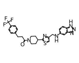 O=C(CCc1ccc(C(F)(F)F)cc1)N1CCC(c2nc(CNc3ccc4[nH]nnc4c3)cs2)CC1